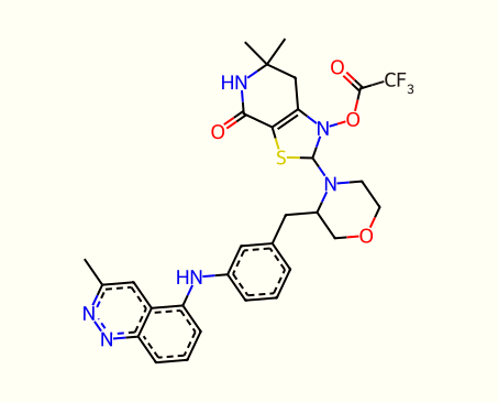 Cc1cc2c(Nc3cccc(CC4COCCN4C4SC5=C(CC(C)(C)NC5=O)N4OC(=O)C(F)(F)F)c3)cccc2nn1